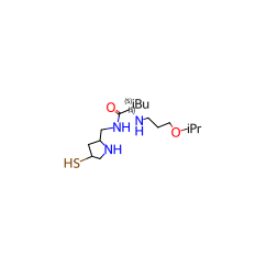 CC[C@H](C)[C@H](NCCCOC(C)C)C(=O)NCC1CC(S)CN1